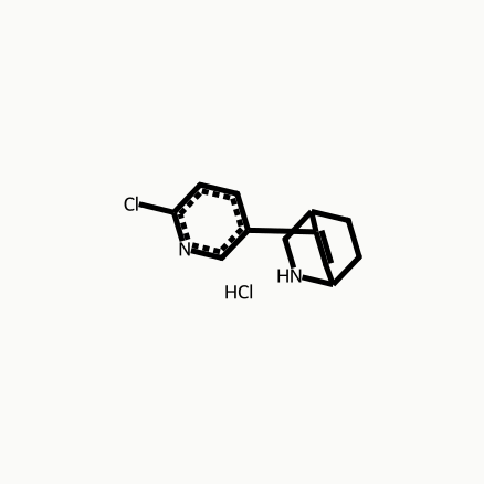 Cl.Clc1ccc(C2=CC3CCC2CN3)cn1